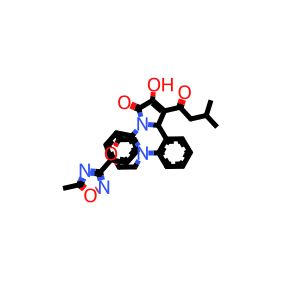 Cc1nc(-c2ccc(N3C(=O)C(O)=C(C(=O)CC(C)C)C3c3ccccc3N3CCOCC3)cc2)no1